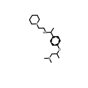 CC(CN(C)C)Oc1ccc(C(C)NCCN2CCCCC2)cc1